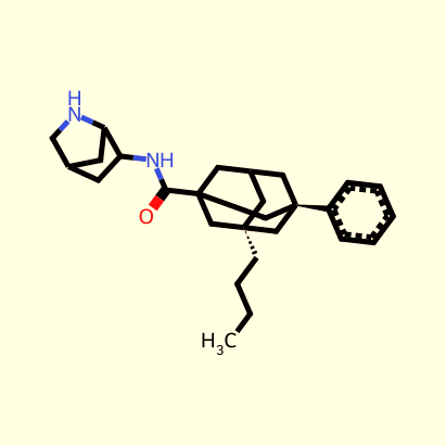 CCCC[C@@]12CC3CC(C(=O)NC4CC5CNC4C5)(C1)C[C@](c1ccccc1)(C3)C2